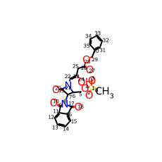 CS(=O)(=O)OCC1C(N2C(=O)c3ccccc3C2=O)C(=O)N1C=C(O)CC(=O)OCc1ccccc1